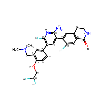 CN(C)Cc1cc(-c2cc(-c3cc4c(cc3F)C(=O)NCC4)c(N)nc2F)ccc1OCC(F)F